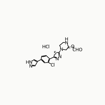 Cl.O=CO[C@@H]1CN(c2nnc(-c3ccc(-c4cn[nH]c4)cc3Cl)s2)CCN1